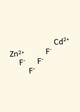 [Cd+2].[F-].[F-].[F-].[F-].[Zn+2]